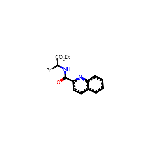 CCOC(=O)[C@@H](NC(=O)c1ccc2ccccc2n1)C(C)C